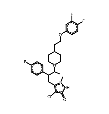 CC(C(Cc1c(Cl)c(=O)[nH]n1C)c1ccc(F)cc1)N1CCC(CCOc2ccc(F)c(F)c2)CC1